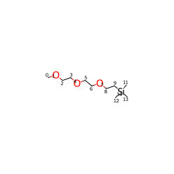 COCCOCCOCC[Si](C)(C)C